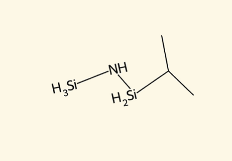 CC(C)[SiH2]N[SiH3]